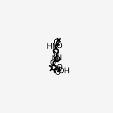 Cc1c(Oc2ccnc(N3CCC(NC(=O)OC(C)(C)C)CC3)n2)cc(S(=O)(=O)O)c(C)c1C